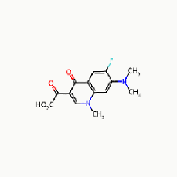 CN(C)c1cc2c(cc1F)c(=O)c(C(=O)C(=O)O)cn2C